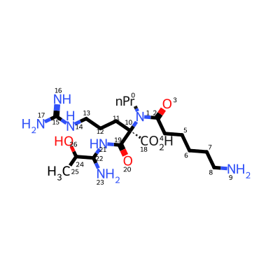 CCCN(C(=O)CCCCCN)[C@@](CCCNC(=N)N)(C(=O)O)C(=O)NC(N)C(C)O